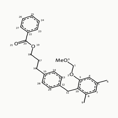 COCOc1cc(C)cc(C)c1Cc1ccc(CCCOC(=O)c2ccccc2)cc1